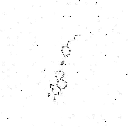 C=CCCc1ccc(C#Cc2ccc3c(F)c(OC(F)(F)F)ccc3c2)cc1